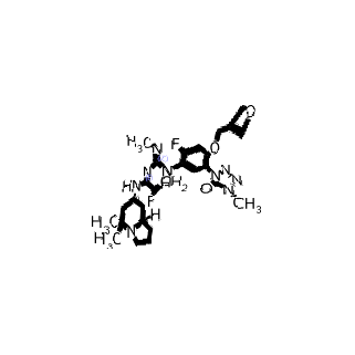 C=C(F)/C(=N\C(=N/C)Nc1cc(-n2nnn(C)c2=O)c(OCC2COC2)cc1F)N[C@@H]1C[C@@H]2CCCN2C(C)(C)C1